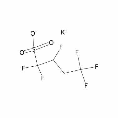 O=S(=O)([O-])C(F)(F)C(F)CC(F)(F)F.[K+]